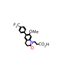 COc1cc2c(cc1-c1ccc(C(F)(F)F)cc1)CCC(=O)N2CCC(=O)O